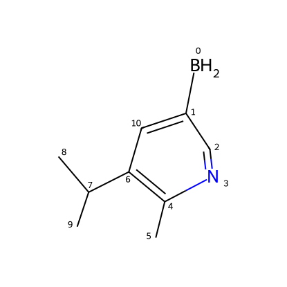 Bc1cnc(C)c(C(C)C)c1